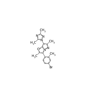 Cc1nc(C)n(-c2c(C)nn3c(-c4ccc(Br)cc4C)c(C)oc23)n1